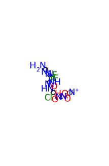 C[N+]1(C)CCC(O)(C(=O)N2CCN(C(=O)c3ccc(NC(=O)c4ncc(-c5cn(-c6ccc(N)cn6)nc5C(F)(F)F)[nH]4)cc3Cl)CC2)CC1